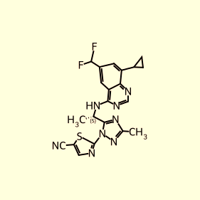 Cc1nc([C@H](C)Nc2ncnc3c(C4CC4)cc(C(F)F)cc23)n(-c2ncc(C#N)s2)n1